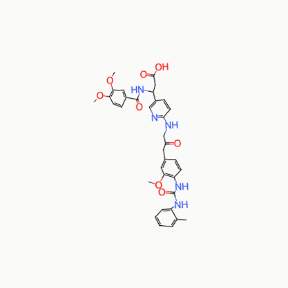 COc1cc(CC(=O)CNc2ccc(C(CC(=O)O)NC(=O)c3ccc(OC)c(OC)c3)cn2)ccc1NC(=O)Nc1ccccc1C